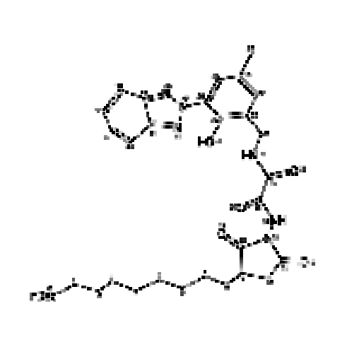 CCCCCCCCCCCCCCCCCCC1CC(=O)N(NC(=O)C(=O)NCc2cc(C)cc(-n3nc4ccccc4n3)c2O)C1=O